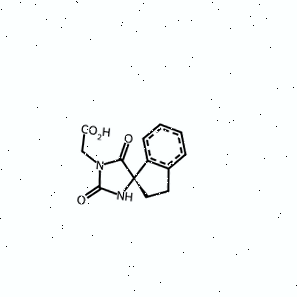 O=C(O)CN1C(=O)N[C@]2(CCc3ccccc32)C1=O